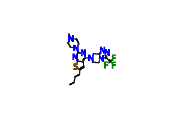 CCCCc1cc2c(N3CCn4c(nnc4C(F)(F)F)C3)nc(N3CCN(C)CC3)nc2s1